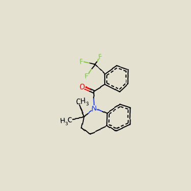 CC1(C)CCc2ccccc2N1C(=O)c1ccccc1C(F)(F)F